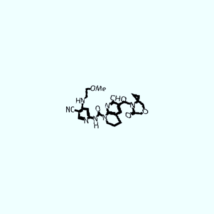 COCCNc1cc(NC(=O)N2CCCc3cc(CN4C(=O)COCC45CC5)c(C=O)nc32)ncc1C#N